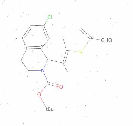 C=C(C=O)S/C(C)=C(\C)C1c2cc(Cl)ccc2CCN1C(=O)OC(C)(C)C